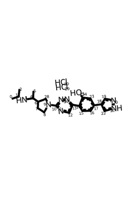 CC(C)NC(C)C1CCN(c2ncc(-c3ccc(-c4cn[nH]c4)cc3O)nn2)C1.Cl.Cl